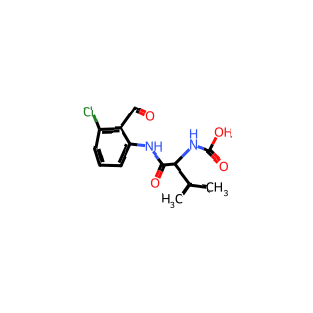 CC(C)C(NC(=O)O)C(=O)Nc1cccc(Cl)c1C=O